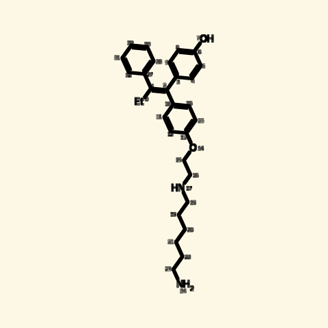 CCC(=C(c1ccc(O)cc1)c1ccc(OCCNCCCCCCN)cc1)c1ccccc1